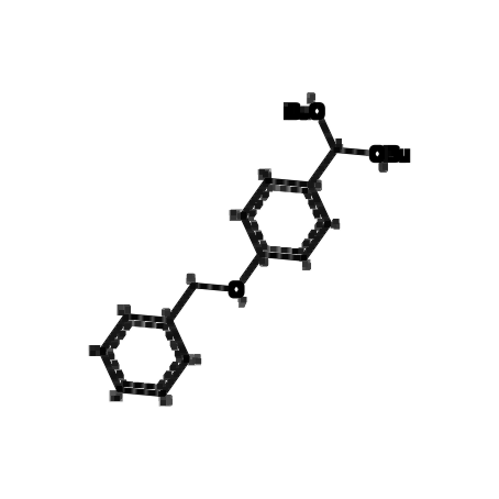 CC(C)COC(OCC(C)C)c1ccc(OCc2ccccc2)cc1